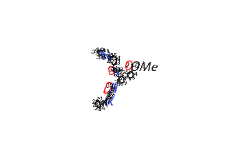 COC(=O)c1cccc(-c2ccc(CNC(=O)[C@H]3C[C@H]3c3ccccc3)c3c2CCN(C(=O)c2cccc(-n4cccc4)c2)C3)c1